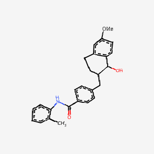 COc1ccc2c(c1)CCC(Cc1ccc(C(=O)Nc3ccccc3C)cc1)C2O